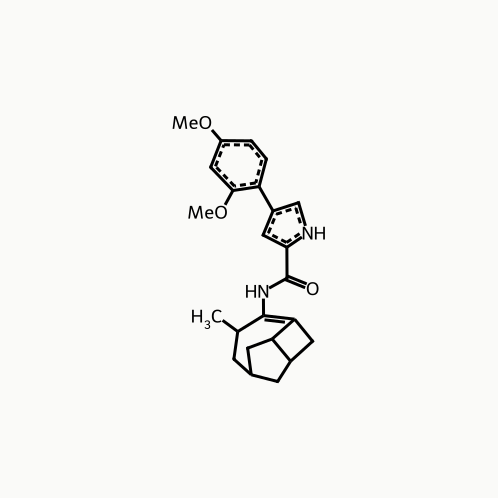 COc1ccc(-c2c[nH]c(C(=O)NC3=C4CC5CC(CC3C)CC45)c2)c(OC)c1